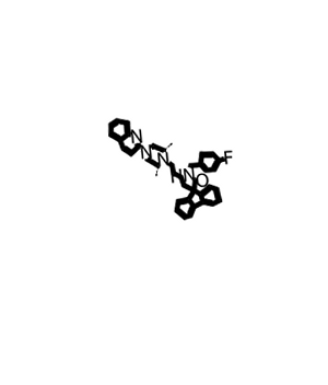 C[C@@H]1CN(c2ccc3ccccc3n2)C[C@H](C)N1CCCCC1(C(=O)NCc2ccc(F)cc2)c2ccccc2-c2ccccc21